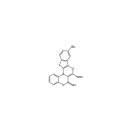 CNC1=C2B(c3ccccc3OC2=N)c2sc3ccc(C(C)(C)C)cc3c2O1